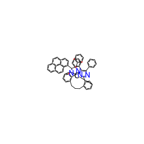 c1ccc(C2=NC3(N=C2c2ccc4ccc5cccc6ccc2c4c56)c2cc4ccc2CCCc2ccc(cc2-c2nc(-c5ccccc5)c(-c5ccccc5)n23)CCC4)cc1